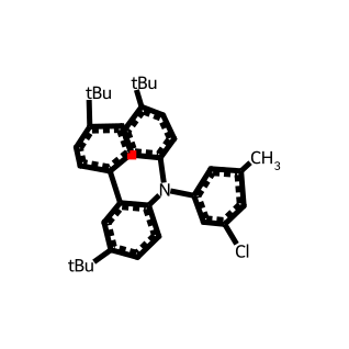 Cc1cc(Cl)cc(N(c2ccc(C(C)(C)C)cc2)c2ccc(C(C)(C)C)cc2-c2ccc(C(C)(C)C)cc2)c1